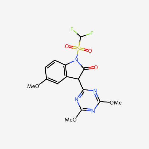 COc1ccc2c(c1)C(c1nc(OC)nc(OC)n1)C(=O)N2S(=O)(=O)C(F)F